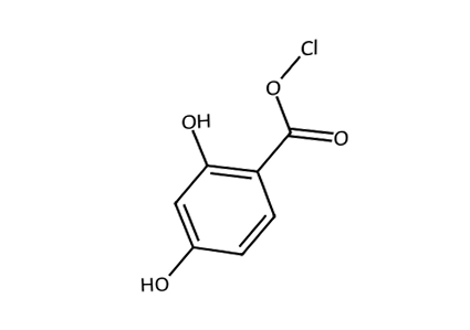 O=C(OCl)c1ccc(O)cc1O